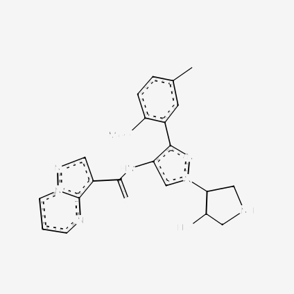 COc1ccc(Cl)cc1-c1nn(C2CNCC2O)cc1NC(=O)c1cnn2cccnc12